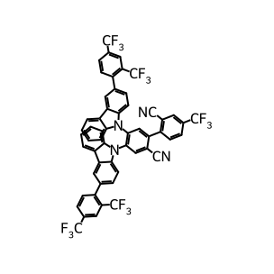 N#Cc1cc(C(F)(F)F)ccc1-c1cc(-n2c3ccccc3c3cc(-c4ccc(C(F)(F)F)cc4C(F)(F)F)ccc32)c(-n2c3ccccc3c3cc(-c4ccc(C(F)(F)F)cc4C(F)(F)F)ccc32)cc1C#N